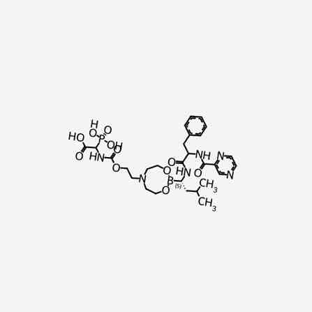 CC(C)C[C@@H](NC(=O)C(Cc1ccccc1)NC(=O)c1cnccn1)B1OCCN(CCOC(=O)NC(C(=O)O)P(=O)(O)O)CCO1